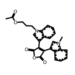 CC(=O)OCCCn1cc(C2=C(c3cn(C)c4ccccc34)C(=O)OC2=O)c2ccccc21